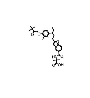 CCC(CCc1cc2cc(C(=O)NC(C)(C)C(=O)O)ccc2o1)c1ccc(OCC(=O)C(C)(C)C)c(C)c1